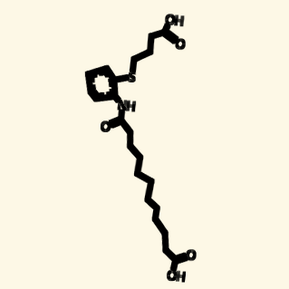 O=C(O)CCCCCCCCCCC(=O)Nc1ccccc1SCCCC(=O)O